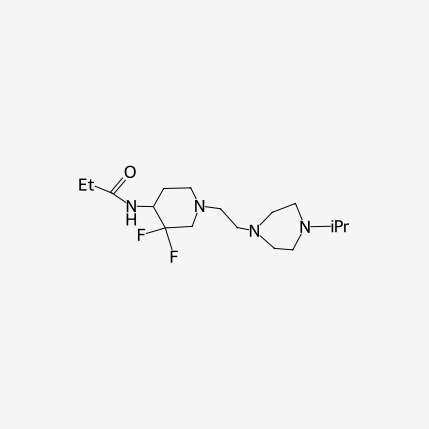 CCC(=O)NC1CCN(CCN2CCN(C(C)C)CC2)CC1(F)F